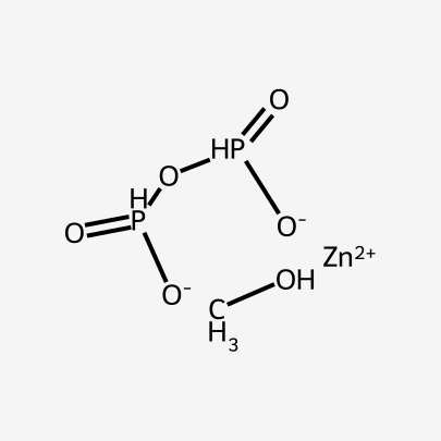 CO.O=[PH]([O-])O[PH](=O)[O-].[Zn+2]